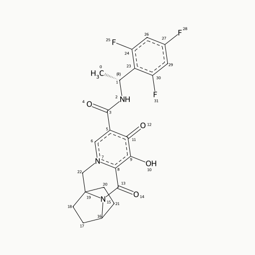 C[C@@H](NC(=O)c1cn2c(c(O)c1=O)C(=O)N1C3CCC1(CC3)C2)c1c(F)cc(F)cc1F